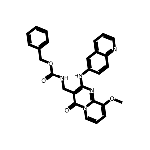 COc1cccn2c(=O)c(CNC(=O)OCc3ccccc3)c(Nc3ccc4ncccc4c3)nc12